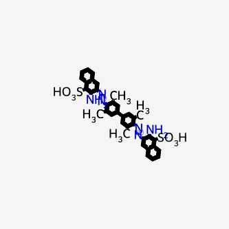 Cc1cc(-c2cc(C)c(/N=N/c3cc4ccccc4c(S(=O)(=O)O)c3N)c(C)c2)cc(C)c1/N=N/c1cc2ccccc2c(S(=O)(=O)O)c1N